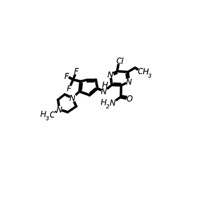 CCc1nc(C(N)=O)c(Nc2ccc(C(F)(F)F)c(N3CCN(C)CC3)c2)nc1Cl